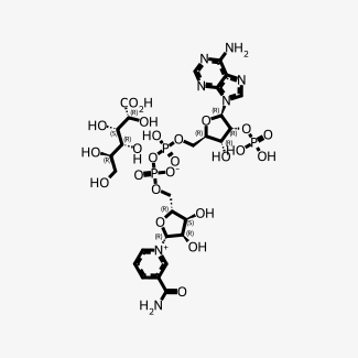 NC(=O)c1ccc[n+]([C@@H]2O[C@H](COP(=O)([O-])OP(=O)(O)OC[C@H]3O[C@@H](n4cnc5c(N)ncnc54)[C@H](OP(=O)(O)O)[C@@H]3O)[C@@H](O)[C@H]2O)c1.O=C(O)[C@H](O)[C@@H](O)[C@H](O)[C@H](O)CO